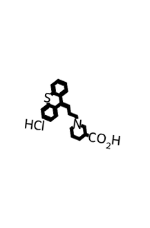 Cl.O=C(O)C1CCCN(CCC=C2c3ccccc3Sc3ccccc32)C1